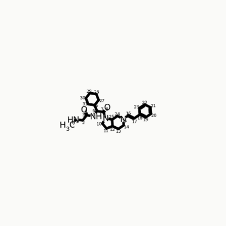 CNCC(=O)NC(C(=O)N1CCC2CCN(C=Cc3ccccc3)CC21)C1CCCCC1